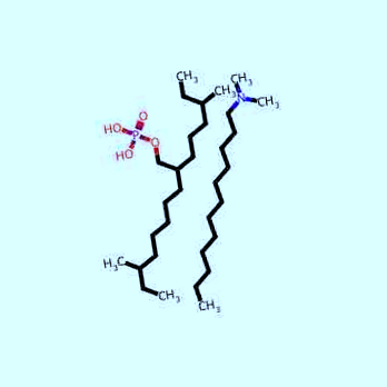 CCC(C)CCCCCC(CCCC(C)CC)COP(=O)(O)O.CCCCCCCCCCCCN(C)C